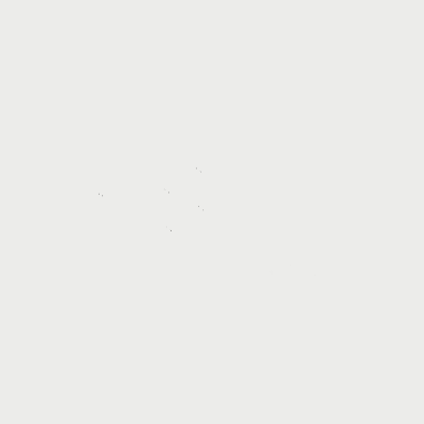 c1ccc2c(c1)-c1nccc3c1c(nc1ccccc13)N2c1nc(-c2ccc3sc4ccccc4c3c2)c2ccccc2n1